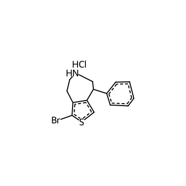 Brc1scc2c1CCNCC2c1ccccc1.Cl